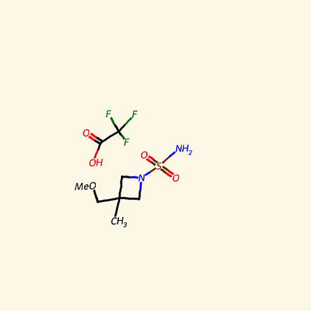 COCC1(C)CN(S(N)(=O)=O)C1.O=C(O)C(F)(F)F